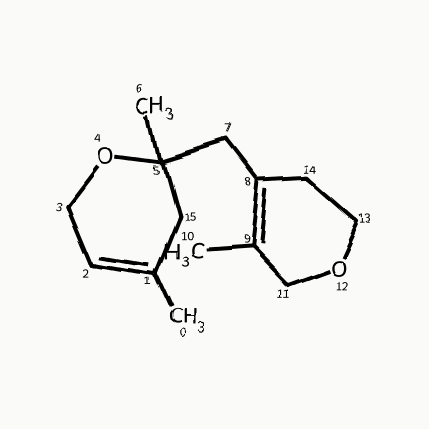 CC1=CCOC(C)(CC2=C(C)COCC2)C1